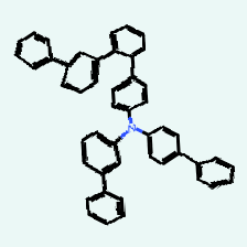 c1ccc(-c2ccc(N(c3ccc(-c4ccccc4-c4cccc(-c5ccccc5)c4)cc3)c3cccc(-c4ccccc4)c3)cc2)cc1